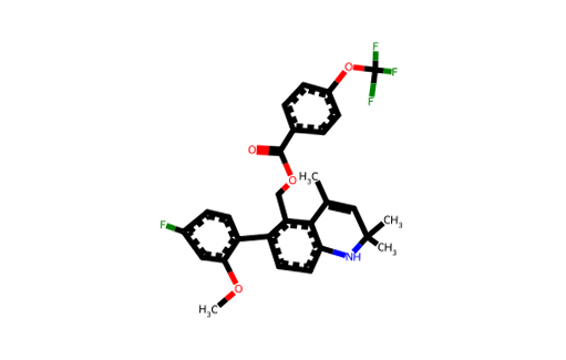 COc1cc(F)ccc1-c1ccc2c(c1COC(=O)c1ccc(OC(F)(F)F)cc1)C(C)=CC(C)(C)N2